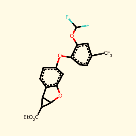 CCOC(=O)C1C2Oc3cc(Oc4ccc(C(F)(F)F)cc4OC(F)F)ccc3C21